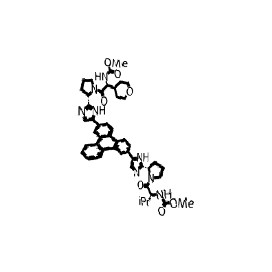 COC(=O)N[C@H](C(=O)N1CCC[C@H]1c1ncc(-c2ccc3c4ccc(-c5cnc([C@@H]6CCCN6C(=O)[C@@H](NC(=O)OC)C6CCOCC6)[nH]5)cc4c4ccccc4c3c2)[nH]1)C(C)C